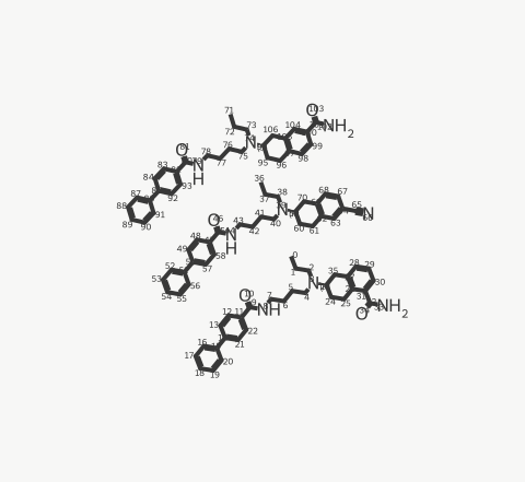 CCCN(CCCCNC(=O)c1ccc(-c2ccccc2)cc1)[C@@H]1CCc2c(cccc2C(N)=O)C1.CCCN(CCCCNC(=O)c1ccc(-c2ccccc2)cc1)[C@@H]1CCc2cc(C#N)ccc2C1.CCCN(CCCCNC(=O)c1ccc(-c2ccccc2)cc1)[C@H]1CCc2ccc(C(N)=O)cc2C1